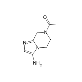 CC(=O)N1CCn2c(N)cnc2C1